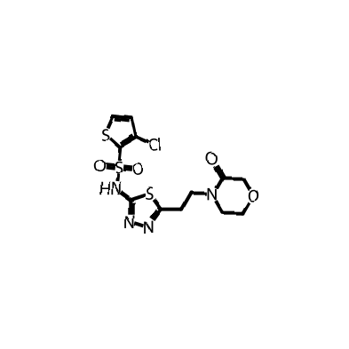 O=C1COCCN1CCc1nnc(NS(=O)(=O)c2sccc2Cl)s1